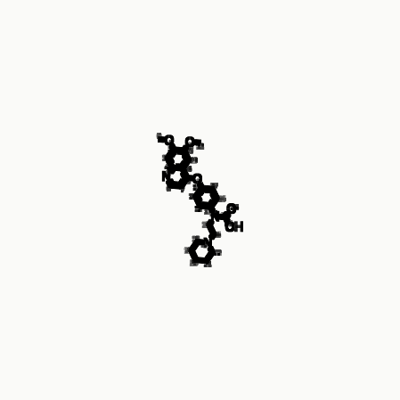 COc1cc2nccc(Oc3ccc(N(CCN4CCCCC4)C(=O)O)cc3)c2cc1OC